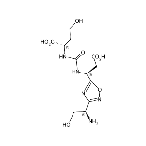 N[C@@H](CO)c1noc([C@H](CC(=O)O)NC(=O)N[C@@H](CCO)C(=O)O)n1